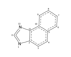 C1=Nc2ccc3ccccc3c2N=1